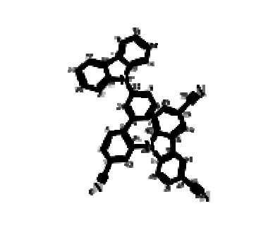 N#Cc1ccc(-c2cccc(-n3c4ccccc4c4ccccc43)c2)c(-n2c3ccc(C#N)cc3c3cc(C#N)ccc32)c1